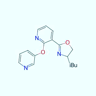 CCC(C)C1COC(c2cccnc2Oc2cccnc2)=N1